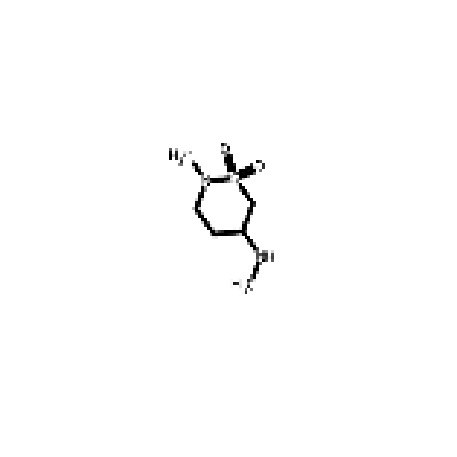 CNC1CCN(C)S(=O)(=O)C1